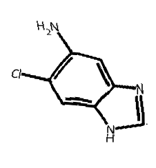 Nc1cc2n[c][nH]c2cc1Cl